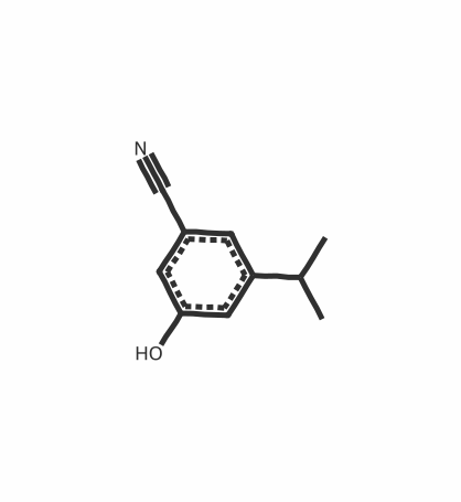 CC(C)c1cc(O)cc(C#N)c1